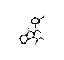 COC(=O)c1c(N(C)c2cccc(F)c2)[nH]c2ccccc12